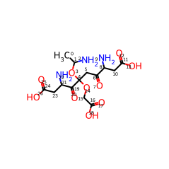 CC(N)OC(CC(=O)C(N)CC(=O)O)(OCC(=O)O)C(=O)C(N)CC(=O)O